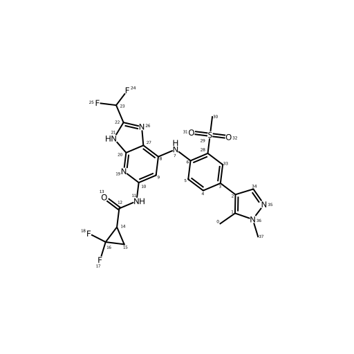 Cc1c(-c2ccc(Nc3cc(NC(=O)C4CC4(F)F)nc4[nH]c(C(F)F)nc34)c(S(C)(=O)=O)c2)cnn1C